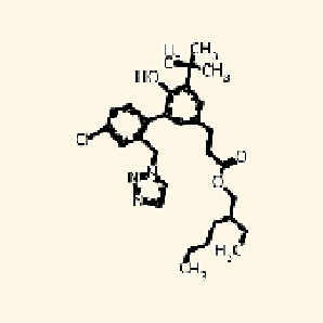 CCCCC(CC)COC(=O)CCc1cc(-c2ccc(Cl)cc2Cn2ccnn2)c(O)c(C(C)(C)C)c1